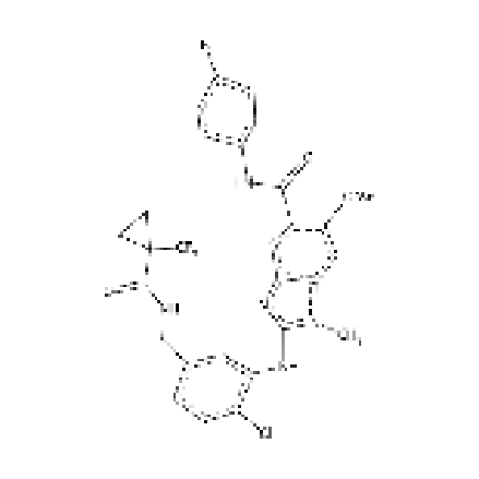 COc1cc2c(cc1C(=O)Nc1ccc(Br)cc1)nc(Nc1cc(CNC(=O)C3(C(F)(F)F)CC3)ccc1Cl)n2C